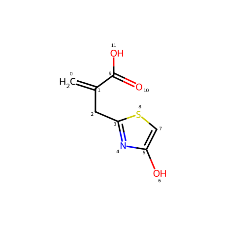 C=C(Cc1nc(O)cs1)C(=O)O